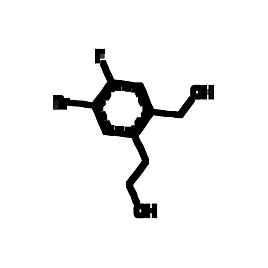 OCCc1cc(Br)c(F)cc1CO